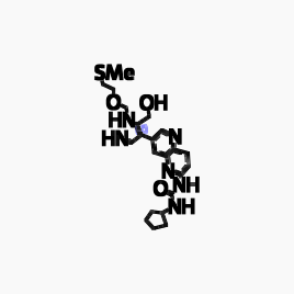 CSCCOCN/C(CO)=C(\C=N)c1cnc2ccc(NC(=O)NC3CCCC3)nc2c1